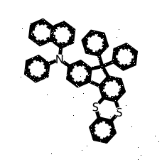 c1ccc(N(c2ccc3c(c2)C(c2ccccc2)(c2ccccc2)c2ccc4c(c2-3)Sc2ccccc2S4)c2cccc3ccccc23)cc1